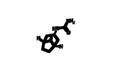 CN1[C@@H]2CC[C@H]1C[C@@H](NC(N)=O)C2